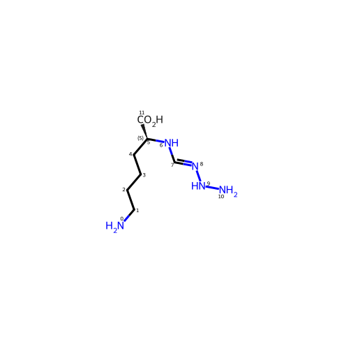 NCCCC[C@H](NC=NNN)C(=O)O